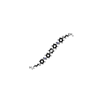 CCCCOc1ccc(/N=N/c2ccc(N3CCN(c4ccc(/N=N/c5ccc(OCCCC)cc5)cc4)CC3)cc2)cc1